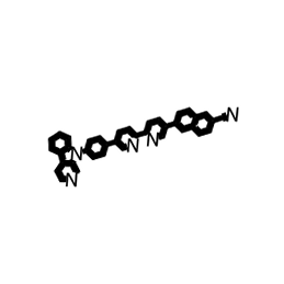 N#Cc1ccc2cc(-c3ccc(-c4ccc(-c5ccc(-n6c7ccccc7c7ccncc76)cc5)cn4)nc3)ccc2c1